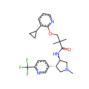 CN1C[C@H](NC(=O)C(C)(C)COc2ncccc2C2CC2)[C@@H](c2ccc(C(F)(F)F)nc2)C1